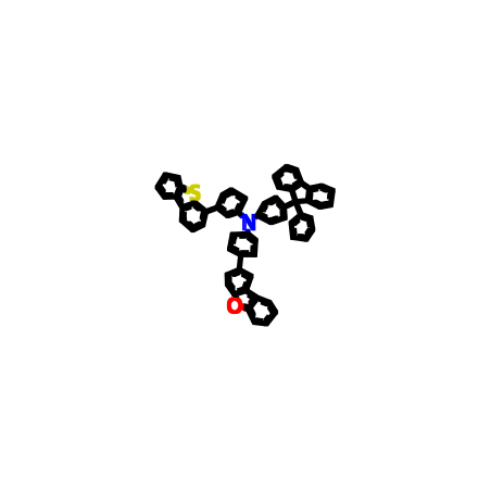 c1ccc(C2(c3ccc(N(c4ccc(-c5ccc6oc7ccccc7c6c5)cc4)c4cccc(-c5cccc6c5sc5ccccc56)c4)cc3)c3ccccc3-c3ccccc32)cc1